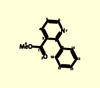 COC(=O)c1cccnc1-c1ccccc1